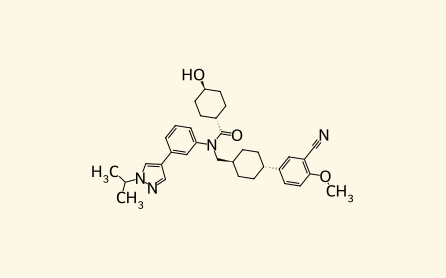 COc1ccc([C@H]2CC[C@H](CN(c3cccc(-c4cnn(C(C)C)c4)c3)C(=O)[C@H]3CC[C@H](O)CC3)CC2)cc1C#N